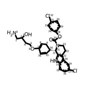 NCC(O)CCOC1=CCC([C@H]2c3[nH]c4ccc(Cl)cc4c3CCN2C(=O)Oc2ccc(Cl)cc2)C=C1